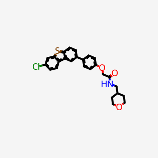 O=C(COc1ccc(-c2ccc3sc4cc(Cl)ccc4c3c2)cc1)NCC1CCOCC1